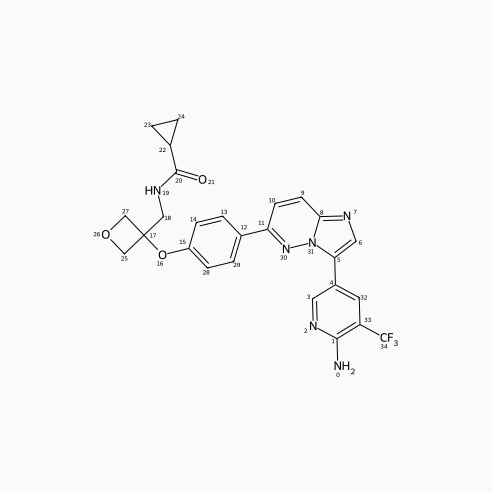 Nc1ncc(-c2cnc3ccc(-c4ccc(OC5(CNC(=O)C6CC6)COC5)cc4)nn23)cc1C(F)(F)F